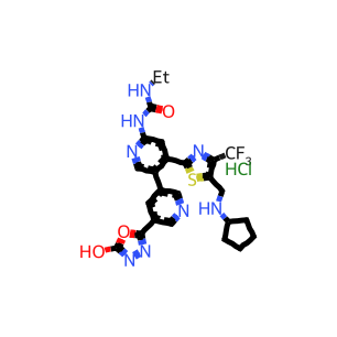 CCNC(=O)Nc1cc(-c2nc(C(F)(F)F)c(CNC3CCCC3)s2)c(-c2cncc(-c3nnc(O)o3)c2)cn1.Cl